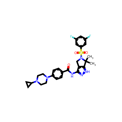 CC1(C)c2[nH]nc(NC(=O)c3ccc(N4CCN(C5CC5)CC4)cc3)c2CN1S(=O)(=O)c1cc(F)cc(F)c1